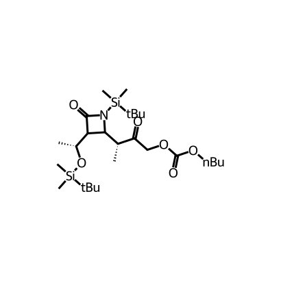 CCCCOC(=O)OCC(=O)[C@H](C)C1C([C@@H](C)O[Si](C)(C)C(C)(C)C)C(=O)N1[Si](C)(C)C(C)(C)C